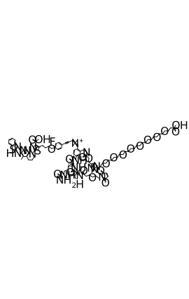 Cc1c(Nc2nc3ccccc3s2)nnc2c1CCCN2c1nc(C(=O)O)c(CCCOc2ccc(C#CC[N+](C)(C)Cc3ccc(NC(=O)[C@H](CCCNC(N)=O)NC(=O)[C@](C)(NC(=O)CCOCCN4C(=O)C=CC4=O)C(C)C)cc3CN(C)C(=O)OCc3cn(CCOCCOCCOCCOCCOCCOCCOCCOCCC(=O)O)nn3)cc2F)s1